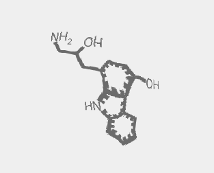 NCC(O)Cc1ccc(O)c2c1[nH]c1ccccc12